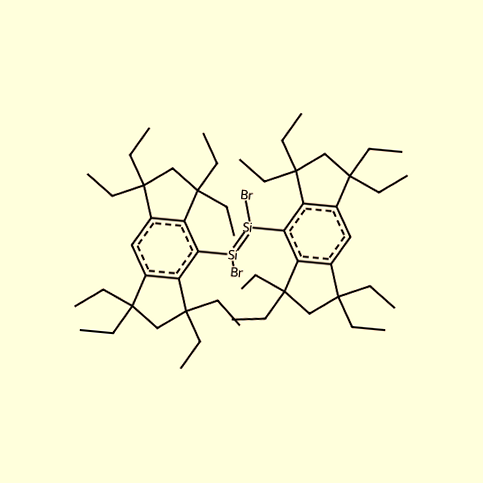 CCC1(CC)CC(CC)(CC)c2c1cc1c(c2/[Si](Br)=[Si](\Br)c2c3c(cc4c2C(CC)(CC)CC4(CC)CC)C(CC)(CC)CC3(CC)CC)C(CC)(CC)CC1(CC)CC